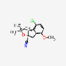 COc1ccc(Cl)c2c1CC(C#N)(O[Si](C)(C)C)C2